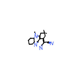 CN(C1=C(C#N)C(=C(C#N)C#N)CC(C)(C)C1)C1CCCCC1